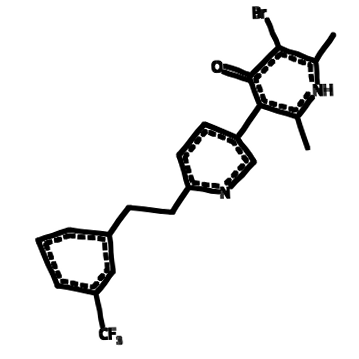 Cc1[nH]c(C)c(-c2ccc(CCc3cccc(C(F)(F)F)c3)nc2)c(=O)c1Br